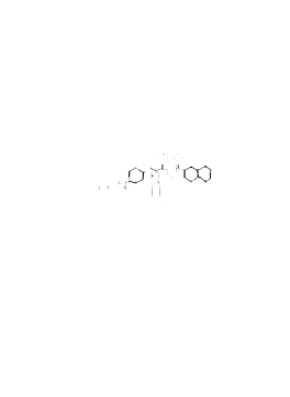 N[C@@H](Cc1ccc([N+](=O)[O-])cc1)C(=O)OC(=O)c1ccc2ccccc2c1